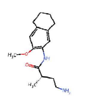 COc1cc2c(cc1NC(=O)[C@@H](C)CCN)CCCC2